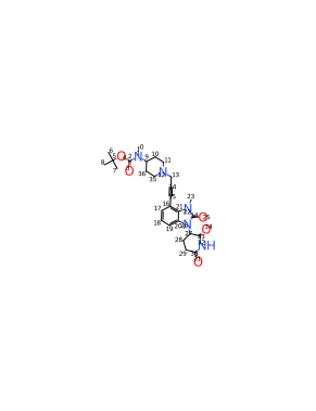 CN(C(=O)OC(C)(C)C)C1CCN(CC#Cc2cccc3c2n(C)c(=O)n3C2CCC(=O)NC2=O)CC1